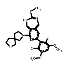 COc1cc(OC)c(Cl)c(-c2cc3c(c(N4CCC5(CCOC5)C4)n2)=CNC(SC)=NC=3)c1Cl